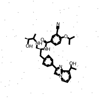 CC(C)Oc1ccc(C(=O)N[C@H](CNC(C)[C@H](C)O)Cc2ccc(-c3cn4cccc(C(C)O)c4n3)cc2)cc1C#N